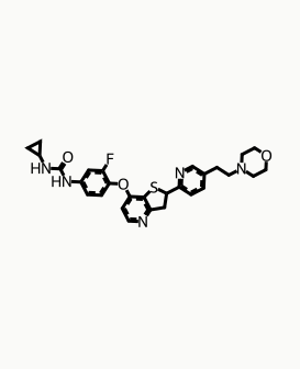 O=C(Nc1ccc(Oc2ccnc3c2SC(c2ccc(CCN4CCOCC4)cn2)C3)c(F)c1)NC1CC1